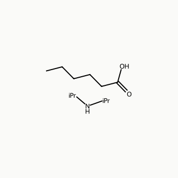 CC(C)NC(C)C.CCCCCC(=O)O